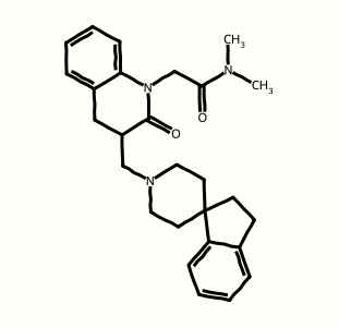 CN(C)C(=O)CN1C(=O)C(CN2CCC3(CCc4ccccc43)CC2)Cc2ccccc21